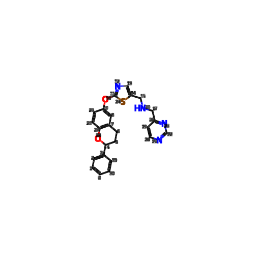 c1ccc(C2CCc3cc(Oc4ncc(CNCc5ccncn5)s4)ccc3O2)cc1